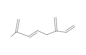 C=CC(=C)CC=CC(=C)C